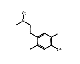 CCN(C)CCc1cc(F)c(O)cc1C